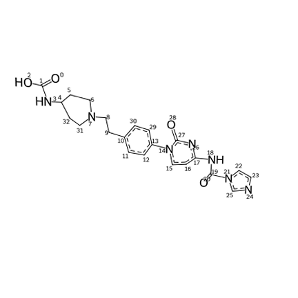 O=C(O)NC1CCN(CCc2ccc(-n3ccc(NC(=O)n4ccnc4)nc3=O)cc2)CC1